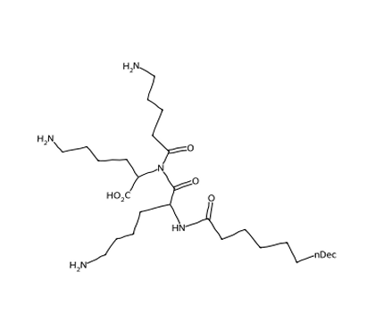 CCCCCCCCCCCCCCCC(=O)NC(CCCCN)C(=O)N(C(=O)CCCCN)C(CCCCN)C(=O)O